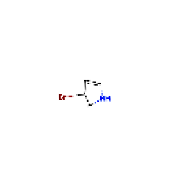 BrC1[C]NC=C1